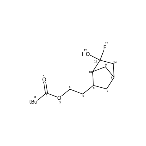 CC(C)(C)C(=O)OCCC1CC2CC1C(O)(F)C2